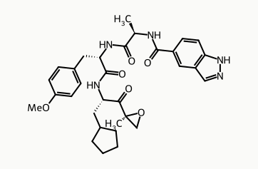 COc1ccc(C[C@H](NC(=O)[C@@H](C)NC(=O)c2ccc3[nH]ncc3c2)C(=O)N[C@@H](CC2CCCC2)C(=O)[C@]2(C)CO2)cc1